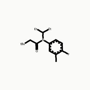 CCC(CC)N(C(=O)CC(C)(C)C)c1ccc(F)c(C)c1